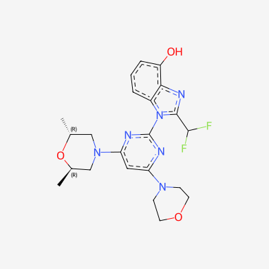 C[C@@H]1CN(c2cc(N3CCOCC3)nc(-n3c(C(F)F)nc4c(O)cccc43)n2)C[C@@H](C)O1